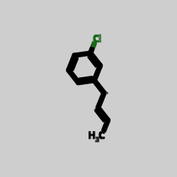 C/C=C/[CH]c1cccc(Cl)c1